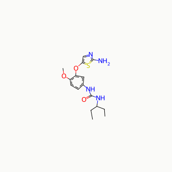 CCC(CC)NC(=O)Nc1ccc(OC)c(Oc2cnc(N)s2)c1